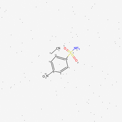 CC#N.NS(=O)(=O)c1ccc([N+](=O)[O-])cc1